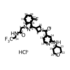 Cl.O=C(Cn1nc(C2CN(C(=O)c3ccnc(NC4CCOCC4)c3)C2)c2c(F)cccc21)NCC(F)(F)F